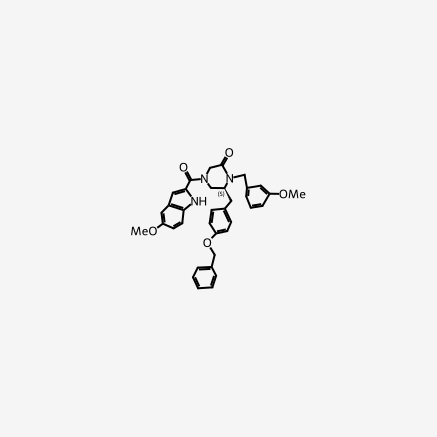 COc1cccc(CN2C(=O)CN(C(=O)c3cc4cc(OC)ccc4[nH]3)C[C@@H]2Cc2ccc(OCc3ccccc3)cc2)c1